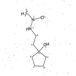 CN(Cl)NCCC1(O)CCCC1